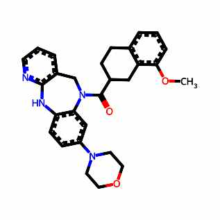 COc1cccc2c1CC(C(=O)N1Cc3cccnc3Nc3ccc(N4CCOCC4)cc31)CC2